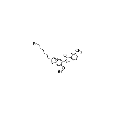 CC(C)Oc1cc2nc(CCCCCCBr)cn2cc1NC(=O)c1cccc(C(F)(F)F)n1